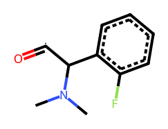 CN(C)C([C]=O)c1ccccc1F